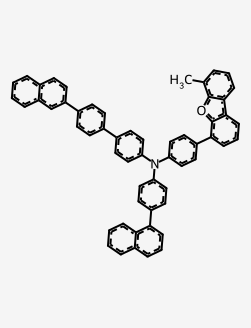 Cc1cccc2c1oc1c(-c3ccc(N(c4ccc(-c5ccc(-c6ccc7ccccc7c6)cc5)cc4)c4ccc(-c5cccc6ccccc56)cc4)cc3)cccc12